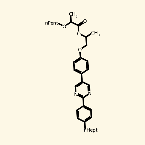 CCCCCCCc1ccc(-c2ncc(-c3ccc(OCC(C)OC(=O)C(C)OCCCCC)cc3)cn2)cc1